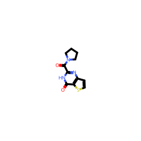 O=C(c1nc2ccsc2c(=O)[nH]1)N1CCCC1